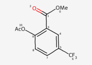 COC(=O)c1cc(C(F)(F)F)ccc1OC(C)=O